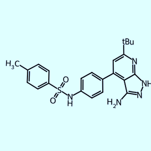 Cc1ccc(S(=O)(=O)Nc2ccc(-c3cc(C(C)(C)C)nc4[nH]nc(N)c34)cc2)cc1